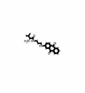 CC(C)[C@H](N)C(=O)NCCCNc1ccc2c(c1)C(=O)c1ccccc1C2=O